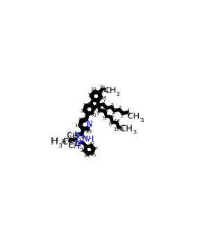 CCCCCCCCC1(CCCCCCCC)c2cc(CC)ccc2-c2ccc(-c3ccc(C4N=C(C(C)(C)C)N=C(c5ccccc5)N4)cn3)cc21